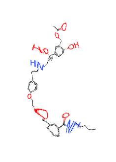 CCCCCNC(=O)c1cccc(COCCOc2ccc(CCNC[C@H](O)c3ccc(O)c(COC(C)=O)c3)cc2)c1